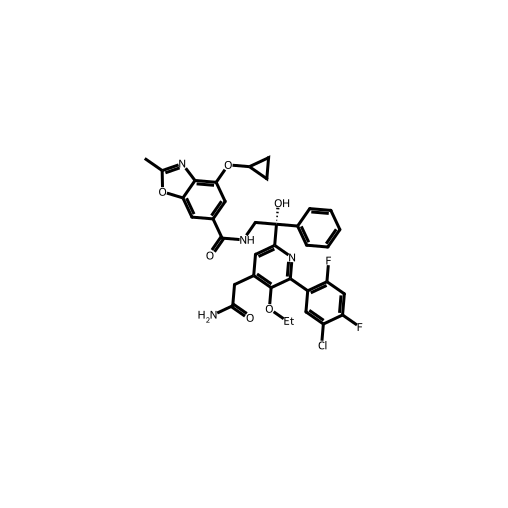 CCOc1c(CC(N)=O)cc([C@@](O)(CNC(=O)c2cc(OC3CC3)c3nc(C)oc3c2)c2ccccc2)nc1-c1cc(Cl)c(F)cc1F